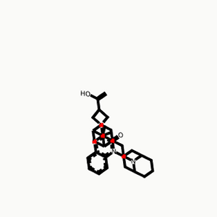 C=C(O)C1CN(c2nc3ccccc3n(C3CC4CCCC(C3)N4CCC3CCC4CC3C4(C)C)c2=O)C1